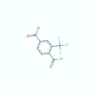 O=C(Cl)c1ccc([N+](=O)[O-])cc1C(F)(F)F